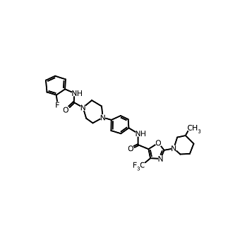 CC1CCCN(c2nc(C(F)(F)F)c(C(=O)Nc3ccc(N4CCN(C(=O)Nc5ccccc5F)CC4)cc3)o2)C1